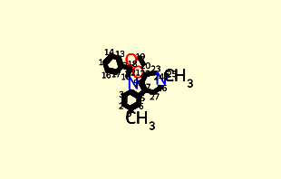 Cc1ccc2c(c1)c1c(n2CC2(c3ccccc3)OCCO2)CCN(C)CC1